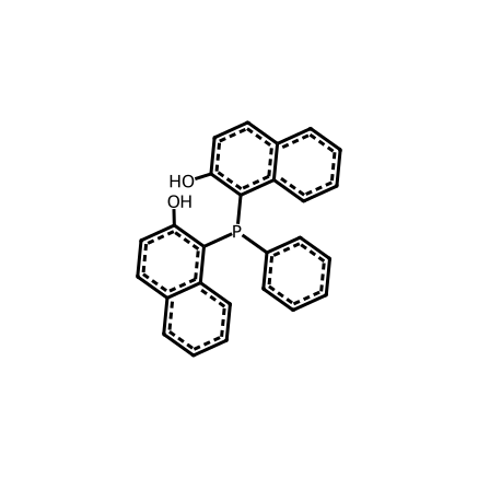 Oc1ccc2ccccc2c1P(c1ccccc1)c1c(O)ccc2ccccc12